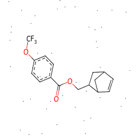 O=C(OCC1CC2C=CC1C2)c1ccc(OC(F)(F)F)cc1